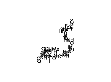 CN[C@@H](C)C(=O)N[C@H](C(=O)N1C[C@@H](NC(=O)CCC(=O)NCCOCCN2C[C@H]3C[C@@H](OCC(=O)NCc4cccc(CNc5cc(N6CCC7(CC6)CN(c6cc(F)c(CN8CCC(C)(C)CC8)cc6F)CC(=O)N7)ncn5)c4)C[C@H]3C2)C[C@H]1C(=O)NC1CCCc2ccccc21)C1CCCCC1